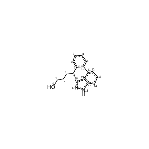 OCCCCc1ccccc1-c1cccc2[nH]nnc12